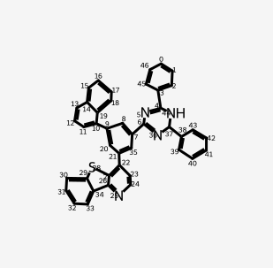 c1ccc(C2=NC(c3cc(-c4cccc5ccccc45)cc(-c4ccnc5c4sc4ccccc45)c3)=NC(c3ccccc3)N2)cc1